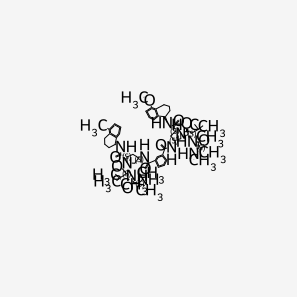 CN[C@@H](C)C(=O)N[C@H](C(=O)N1C[C@@H](NC(=O)c2cccc(C(=O)N[C@H]3C[C@@H](C(=O)NC4CCCc5c(OC)cccc54)N(C(=O)[C@@H](NC(=O)[C@H](C)NC)C(C)(C)C)C3)c2)C[C@H]1C(=O)NC1CCCc2c(C)cccc21)C(C)(C)C